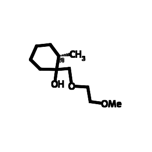 COCCOCC1(O)CCCC[C@@H]1C